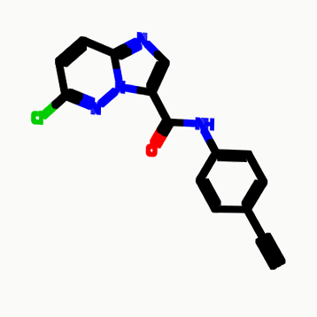 C#Cc1ccc(NC(=O)c2cnc3ccc(Cl)nn23)cc1